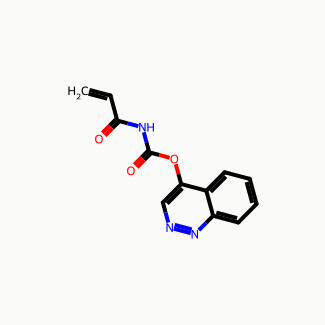 C=CC(=O)NC(=O)Oc1cnnc2ccccc12